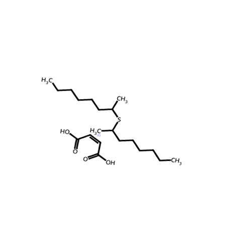 CCCCCCC(C)SC(C)CCCCCC.O=C(O)/C=C\C(=O)O